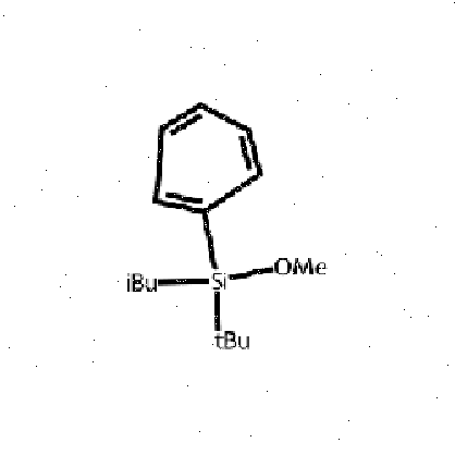 CCC(C)[Si](OC)(c1ccccc1)C(C)(C)C